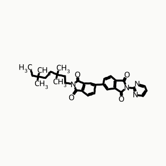 CCC(C)(C)CCC(C)(C)CCN1C(=O)c2ccc(-c3ccc4c(c3)C(=O)N(c3ncccn3)C4=O)cc2C1=O